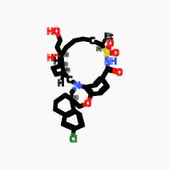 CC[C@@H]1CCCC[C@](O)(CCO)[C@@H]2CC[C@H]2CN2C[C@@]3(CCCc4cc(Cl)ccc43)COc3ccc(cc32)C(=O)NS1(=O)=O